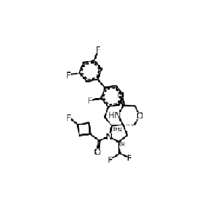 O=C1COC[C@@]2(C[C@@H](C(F)F)N(C(=O)C3CC(F)C3)[C@H]2Cc2cccc(-c3cc(F)cc(F)c3)c2F)N1